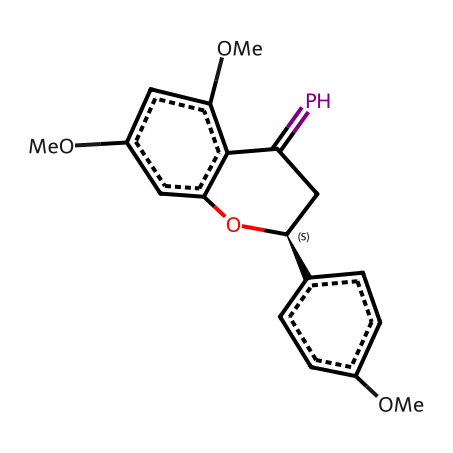 COc1ccc([C@@H]2CC(=P)c3c(OC)cc(OC)cc3O2)cc1